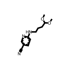 COC(CCCNc1ccc(C#N)cn1)OC